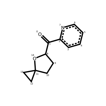 O=C(c1ccccn1)C1CCC2(CC2)O1